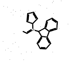 C[CH]=[Zr]([CH]1C=CC=C1)[CH]1c2ccccc2-c2ccccc21